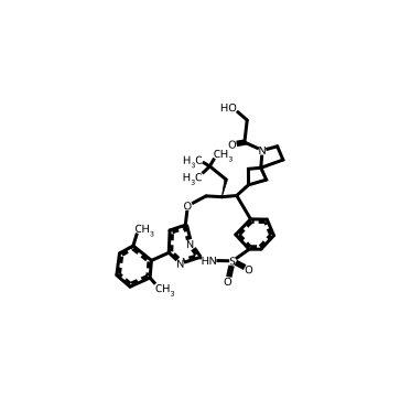 Cc1cccc(C)c1-c1cc2nc(n1)NS(=O)(=O)c1cccc(c1)C(C1CC3(CCN3C(=O)CO)C1)[C@H](CC(C)(C)C)CO2